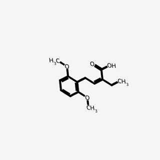 CCC(=CCc1c(OC)cccc1OC)C(=O)O